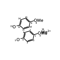 COc1ccc([O-])cc1.COc1ccc([O-])cc1.[Mg+2]